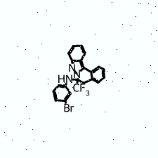 FC(F)(F)C1(Nc2cccc(Br)c2)Cc2ccccc2-c2c3ccccc3nn21